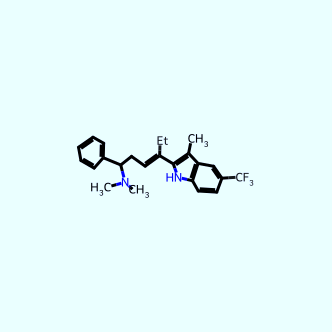 CCC(=CCC(c1ccccc1)N(C)C)c1[nH]c2ccc(C(F)(F)F)cc2c1C